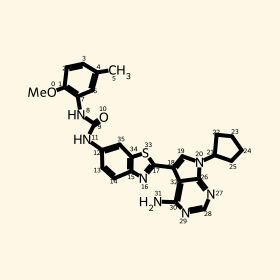 COc1ccc(C)cc1NC(=O)Nc1ccc2nc(-c3cn(C4CCCC4)c4ncnc(N)c34)sc2c1